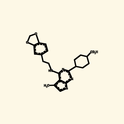 Cc1csc2nc(C3CCC(C(=O)O)CC3)nc(NCCc3ccc4c(c3)OCO4)c12